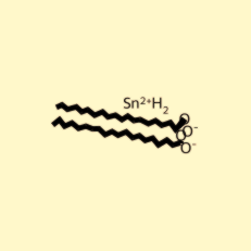 CCCCCCCCCCCCCCCCCCCC(=O)[O-].CCCCCCCCCCCCCCCCCCCC(=O)[O-].[SnH2+2]